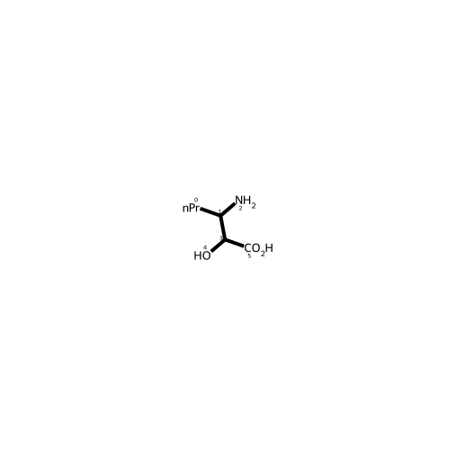 CCCC(N)C(O)C(=O)O